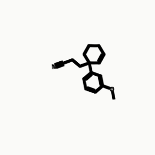 COc1cccc(C2(CCC#N)C=CCCC2)c1